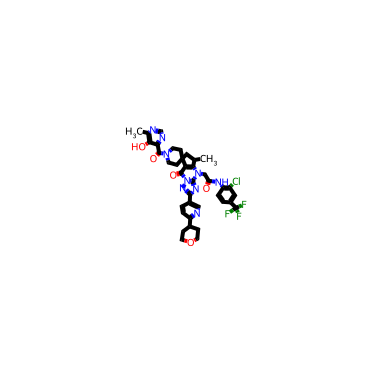 Cc1ncnc(C(=O)N2CCC3(CC2)CC(C)c2c3c(=O)n3nc(-c4ccc(C5CCOCC5)nc4)nc3n2CC(=O)Nc2ccc(C(F)(F)F)cc2Cl)c1O